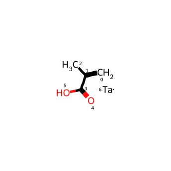 C=C(C)C(=O)O.[Ta]